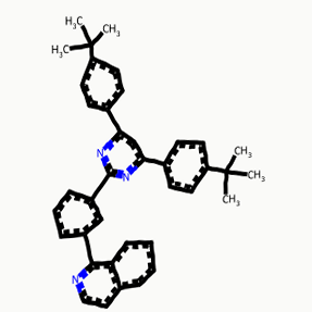 CC(C)(C)c1ccc(-c2cc(-c3ccc(C(C)(C)C)cc3)nc(-c3cccc(-c4nccc5ccccc45)c3)n2)cc1